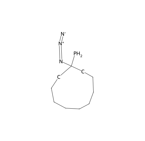 [N-]=[N+]=NC1(P)CCCCCCCCC1